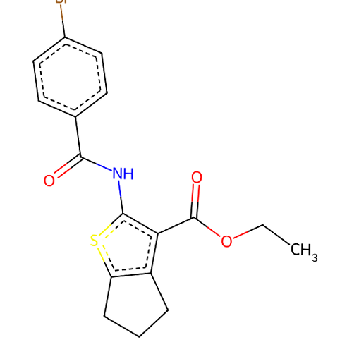 CCOC(=O)c1c(NC(=O)c2ccc(Br)cc2)sc2c1CCC2